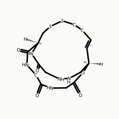 O=C1CNC(=O)[C@H]2CSSCC/C=C/[C@H](CNNCC(=O)N2)OC(=O)CN1